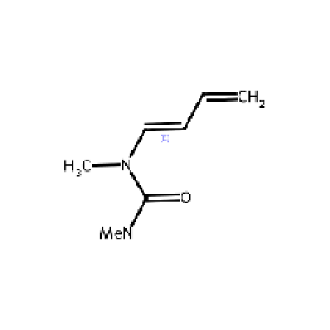 C=C/C=C/N(C)C(=O)NC